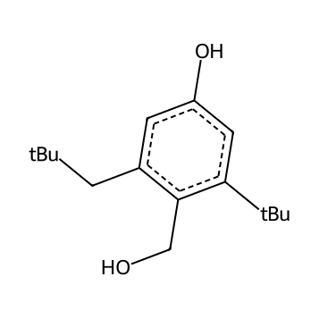 CC(C)(C)Cc1cc(O)cc(C(C)(C)C)c1CO